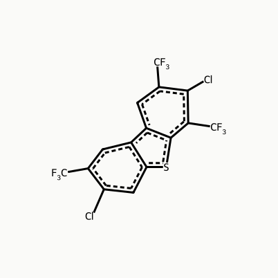 FC(F)(F)c1cc2c(cc1Cl)sc1c(C(F)(F)F)c(Cl)c(C(F)(F)F)cc12